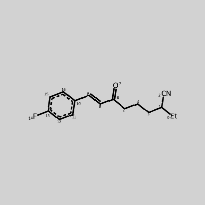 CCC(C#N)CCCC(=O)C=Cc1ccc(F)cc1